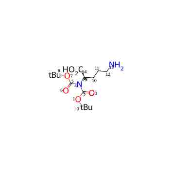 CC(C)(C)OC(=O)N(C(=O)OC(C)(C)C)[C@H](CCCN)C(=O)O